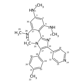 CNc1cc(NC)c(-c2nc(-c3ccncc3)c(-c3ccc(C)cc3)n2C)c(NC)c1